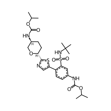 CC(C)OC(=O)Nc1ccc(-c2cnc([C@H]3CC[C@H](NC(=O)OC(C)C)CO3)s2)c(S(=O)(=O)NC(C)(C)C)c1